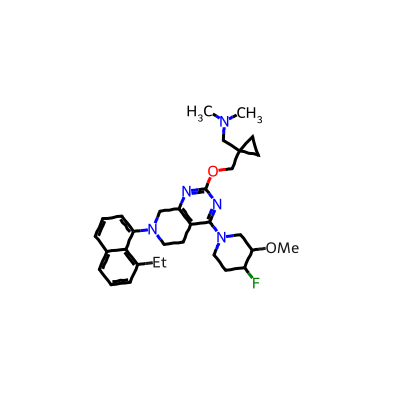 CCc1cccc2cccc(N3CCc4c(nc(OCC5(CN(C)C)CC5)nc4N4CCC(F)C(OC)C4)C3)c12